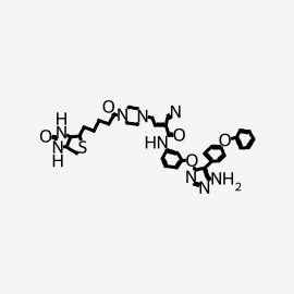 N#C/C(=C\CN1CCN(C(=O)CCCCC2SCC3NC(=O)NC32)CC1)C(=O)Nc1cccc(Oc2ncnc(N)c2-c2ccc(Oc3ccccc3)cc2)c1